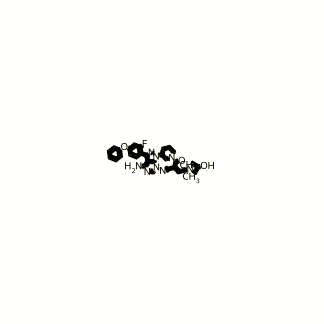 CC(C)(/C=C(/C#N)C(=O)N1CCCC(n2nc(-c3ccc(Oc4ccccc4)cc3F)c3c(N)ncnc32)C1)N1CC(O)C1